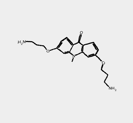 Cn1c2cc(OCCCN)ccc2c(=O)c2ccc(OCCCN)cc21